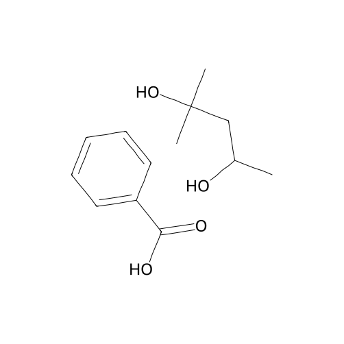 CC(O)CC(C)(C)O.O=C(O)c1ccccc1